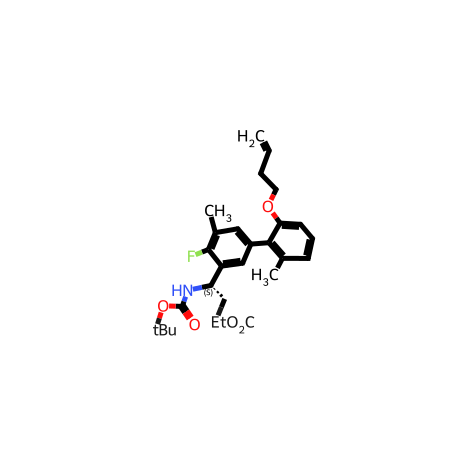 C=CCCOc1cccc(C)c1-c1cc(C)c(F)c([C@H](CC(=O)OCC)NC(=O)OC(C)(C)C)c1